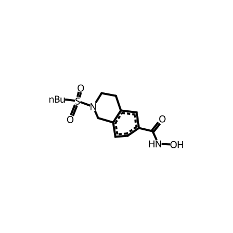 CCCCS(=O)(=O)N1CCc2cc(C(=O)NO)ccc2C1